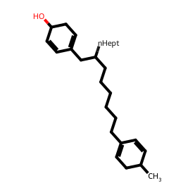 CCCCCCCC(CCCCCCC1=CCC(C)C=C1)CC1=CCC(O)C=C1